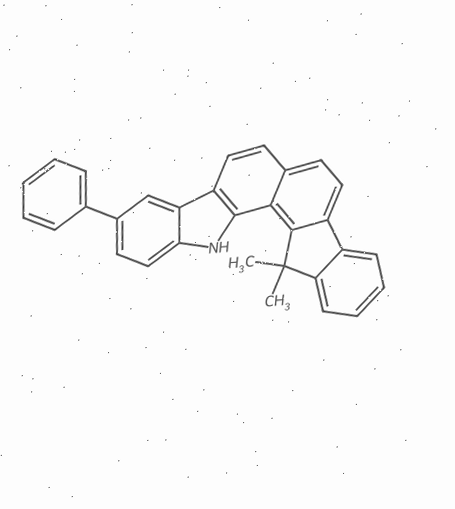 CC1(C)c2ccccc2-c2ccc3ccc4c5cc(-c6ccccc6)ccc5[nH]c4c3c21